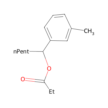 CCCCCC(OC(=O)CC)c1cccc(C)c1